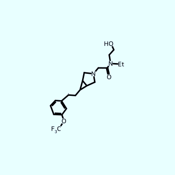 CCN(CCO)C(=O)CN1CC2C(C[CH]c3cccc(OC(F)(F)F)c3)C2C1